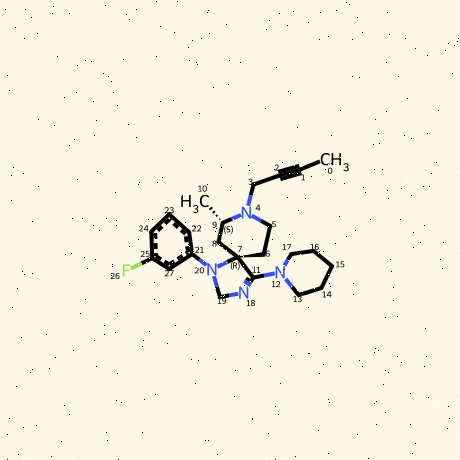 CC#CCN1CC[C@@]2(C[C@@H]1C)C(N1CCCCC1)=NCN2c1cccc(F)c1